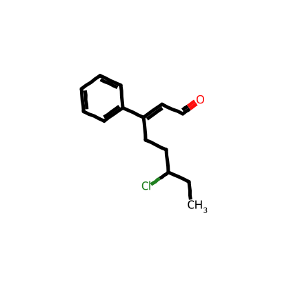 CCC(Cl)CCC(=CC=O)c1ccccc1